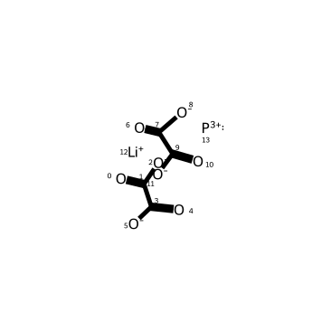 O=C([O-])C(=O)[O-].O=C([O-])C(=O)[O-].[Li+].[P+3]